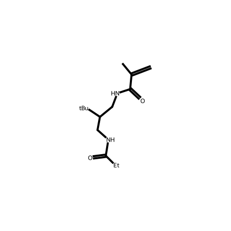 C=C(C)C(=O)NCC(CNC(=O)CC)C(C)(C)C